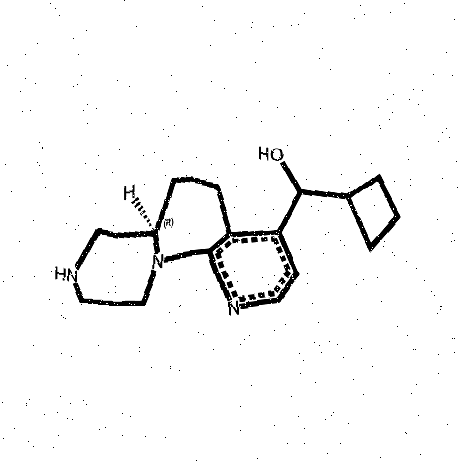 OC(c1ccnc2c1CC[C@@H]1CNCCN21)C1CCC1